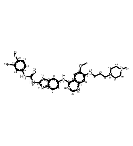 COc1cc2c(Nc3ccc4nc(NC(=O)Nc5ccc(F)c(F)c5)sc4c3)ncnc2cc1OCCCN1CCN(C)CC1